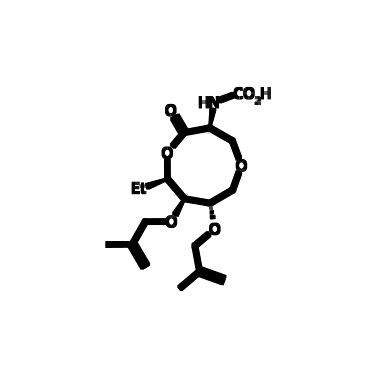 C=C(C)CO[C@@H]1[C@@H](OCC(=C)C)COC[C@H](NC(=O)O)C(=O)O[C@@H]1CC